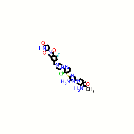 C[C@@H]1OCC2(CCN(c3cnc(Sc4ccnc(N5CCN(Cc6cc(F)c7c(c6)CN(C6CCC(=O)NC6=O)C7=O)CC5)c4Cl)c(N)n3)CC2)[C@@H]1N